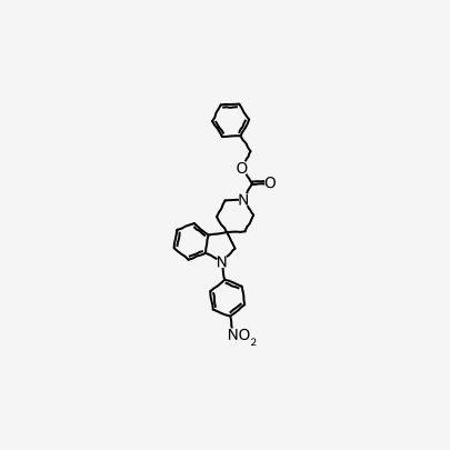 O=C(OCc1ccccc1)N1CCC2(CC1)CN(c1ccc([N+](=O)[O-])cc1)c1ccccc12